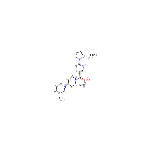 COC[C@H]1CCCN1c1ccc(C(=O)N2CCC(N3CCC[C@@H](C)C3)CC2)cn1.O=CO